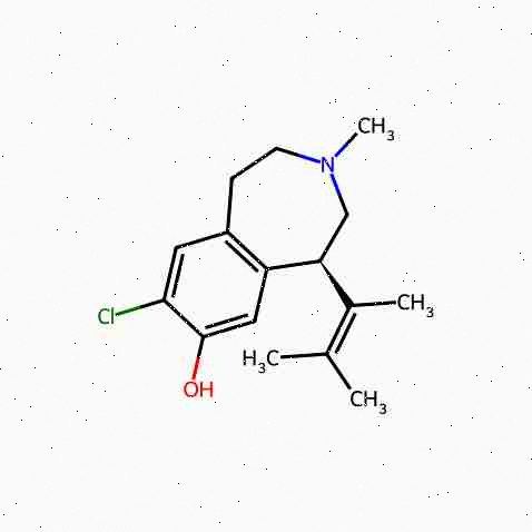 CC(C)=C(C)[C@@H]1CN(C)CCc2cc(Cl)c(O)cc21